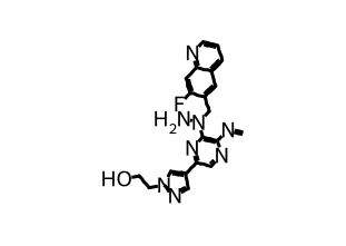 C=Nc1ncc(-c2cnn(CCO)c2)nc1N(N)Cc1cc2cccnc2cc1F